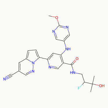 COc1ncc(Nc2cc(-c3ccc4cc(C#N)cnn34)ncc2C(=O)NCC(F)C(C)(C)O)cn1